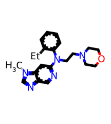 CCc1ccccc1N(CCN1CCOCC1)c1cc2c(cn1)ncn2C